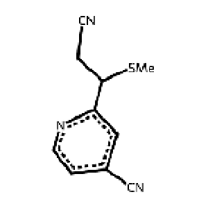 CSC(CC#N)c1cc(C#N)ccn1